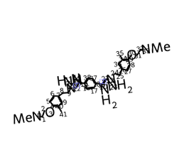 CNCCOc1ccc(CCN(N)/C=C(\N)c2ccc(/C(N)=C/N(N)CCc3ccc(OCCNC)c(C)c3)cc2)cc1C